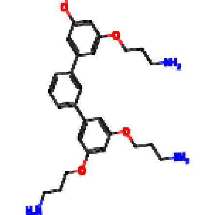 CCCCOc1cc(OCCCN)cc(-c2cccc(-c3cc(OCCCN)cc(OCCCN)c3)c2)c1